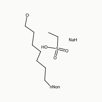 CCCCCCCCCCCCCCCC[O].CCS(=O)(=O)O.[NaH]